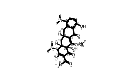 CN(C)c1ccc(O)c2c1C[C@H]1C[C@H]3[C@H](N(C)C)C(O)=C(C(N)=O)C(=O)[C@@]3(O)C(O)=C1C2=O.Cl.Cl